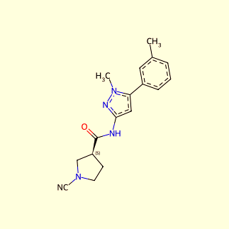 Cc1cccc(-c2cc(NC(=O)[C@H]3CCN(C#N)C3)nn2C)c1